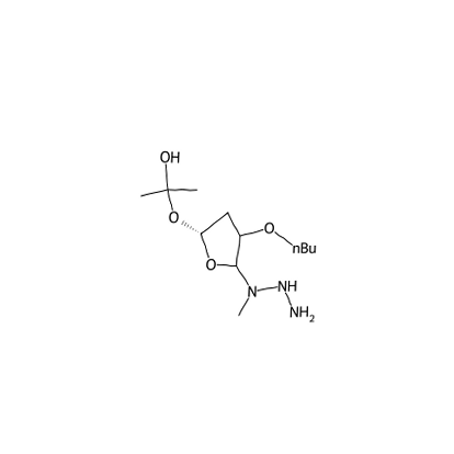 CCCCOC1C[C@@H](OC(C)(C)O)OC1N(C)NN